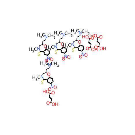 CN(C)CCC1CN(C)C(=S)c2cc([N+](=O)[O-])ccc2O1.CN(C)CCC1CN(C)C(=S)c2cc([N+](=O)[O-])ccc2O1.CN(C)CCC1CN(C)C(=S)c2cc([N+](=O)[O-])ccc2O1.CN(C)CCC1CN(C)C(=S)c2cc([N+](=O)[O-])ccc2O1.O=C(O)C=CC(=O)O.O=C(O)C=CC(=O)O.O=C(O)C=CC(=O)O